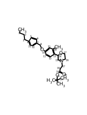 CCCCc1ccc(COc2ccc(C3CN(CCC(=O)OC(C)(C)C)CCO3)c(C)c2)cc1